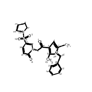 Cc1cc(C(=O)Cn2cc(S(=O)(=O)N3CCCC3)ccc2=O)c(C)n1Cc1ccccc1